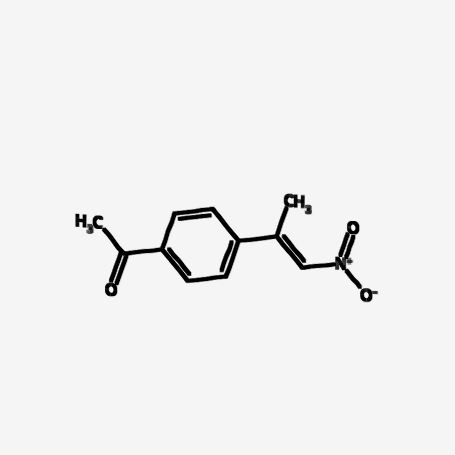 CC(=O)c1ccc(/C(C)=C/[N+](=O)[O-])cc1